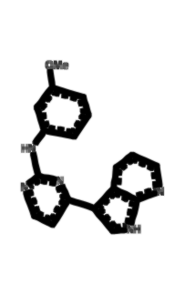 COc1cccc(Nc2nccc(-c3c[nH]c4ncccc34)n2)c1